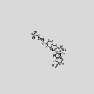 CCS(=O)(=O)c1cc2ccc(C=NOCS(C)(=O)=O)cc2nc1-c1nc2cc(C(F)(F)F)cnc2n1C